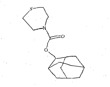 O=C(OC1C2CC3CC(C2)CC1C3)N1CCSCC1